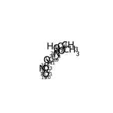 CC(C)(C)OC(=O)N1CCC(CC(=O)c2cnc3ccccc3c2)CC1